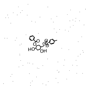 Cc1ccc(S(=O)(=O)OCC2C[C@@H](OC(=O)c3ccccc3)[C@H](O)CC2O)cc1